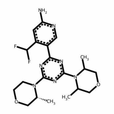 CC1COCC(C)N1c1nc(-c2cnc(N)cc2C(F)F)nc(N2CCOC[C@H]2C)n1